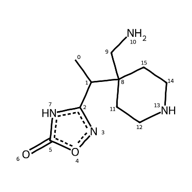 CC(c1noc(=O)[nH]1)C1(CN)CCNCC1